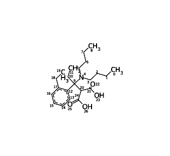 CCCCN(CCCC)C(CC)(c1ccccc1CC)C(C(=O)O)C(=O)O